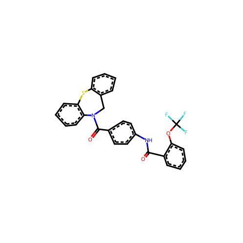 O=C(Nc1ccc(C(=O)N2Cc3ccccc3Sc3ccccc32)cc1)c1ccccc1OC(F)(F)F